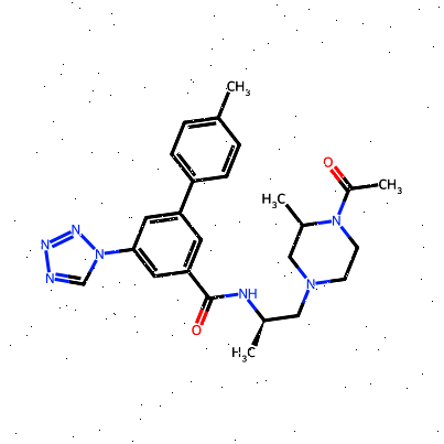 CC(=O)N1CCN(C[C@@H](C)NC(=O)c2cc(-c3ccc(C)cc3)cc(-n3cnnn3)c2)CC1C